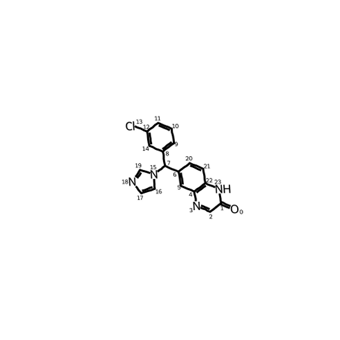 O=c1cnc2cc(C(c3cccc(Cl)c3)n3ccnc3)ccc2[nH]1